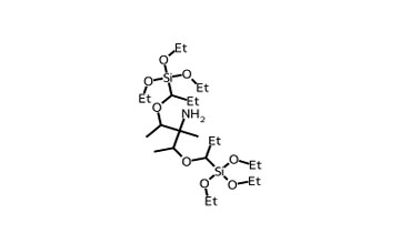 CCO[Si](OCC)(OCC)C(CC)OC(C)C(C)(N)C(C)OC(CC)[Si](OCC)(OCC)OCC